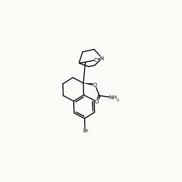 NC(=O)O[C@]1(C2CN3CCC2CC3)CCCc2cc(Br)ccc21